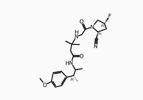 COc1ccc([C@@H](C)C(C)NC(=O)CC(C)(C)NCC(=O)N2C[C@@H](F)C[C@H]2C#N)cc1